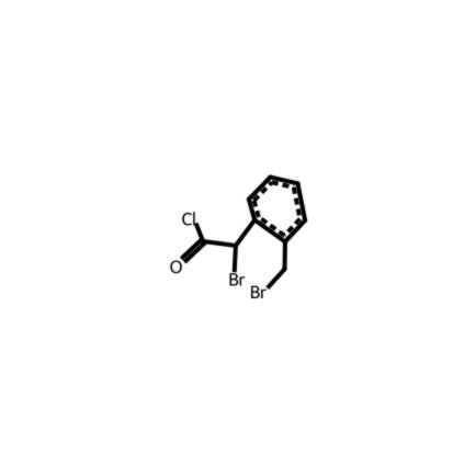 O=C(Cl)C(Br)c1ccccc1CBr